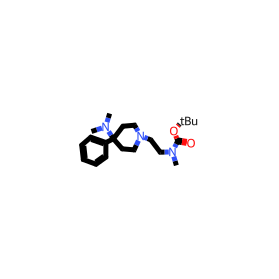 CN(CCN1CCC(c2ccccc2)(N(C)C)CC1)C(=O)OC(C)(C)C